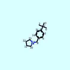 CC(C)(C)c1ccc(CN2CCCC2)cc1